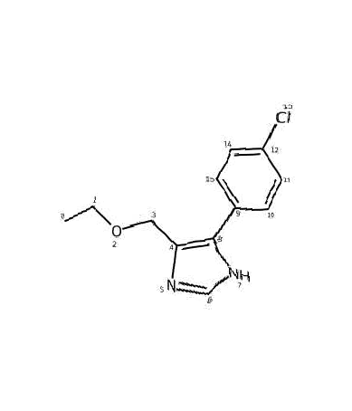 CCOCc1nc[nH]c1-c1ccc(Cl)cc1